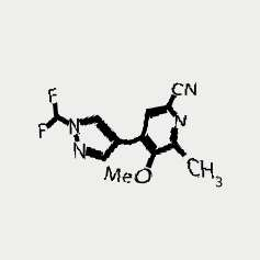 COc1c(-c2cnn(C(F)F)c2)cc(C#N)nc1C